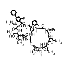 CC(C)C[C@@H]1NC(=O)[C@@H](Cc2ccccc2)NC(=O)[C@H](CCN)NC[C@@H](NC(=O)[C@H](CCN)NC(=O)[C@@H](NC(=O)[C@H](CCN)OC(=O)c2c(F)cc(-c3ccccc3)cc2F)C(C)O)CCNC(=O)[C@H](C(C)O)NC(=O)[C@H](CCN)NC(=O)[C@H](CCN)NC1=O